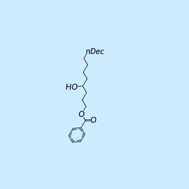 CCCCCCCCCCCCCCC(O)CCCOC(=O)c1ccccc1